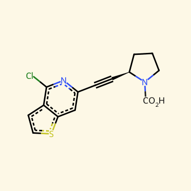 O=C(O)N1CCC[C@@H]1C#Cc1cc2sccc2c(Cl)n1